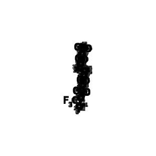 Cc1ccc(-c2ccc(-n3c(=O)c4cc5oc6cc7c(cc6oc5cc4c3=O)C3(CC(C)(C)c4cc5oc6cc8c(=O)n(C)c(=O)c8cc6oc5cc43)CC7(C)C)cc2C(F)(F)F)c(C)c1